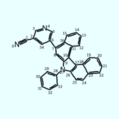 N#Cc1cncc(-c2cc3c(c4ccccc24)c2c4ccccc4ccc2n3-c2ccccc2)c1